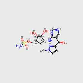 CC(C)n1ccc(C(=O)c2cncnc2N[C@@H]2C[C@H](COS(N)(=O)=O)[C@@H](O)[C@H]2O)n1